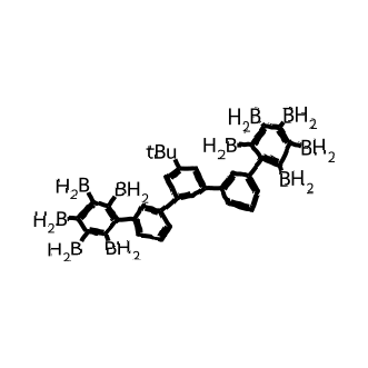 Bc1c(B)c(B)c(-c2cccc(-c3cc(-c4cccc(-c5c(B)c(B)c(B)c(B)c5B)c4)cc(C(C)(C)C)c3)c2)c(B)c1B